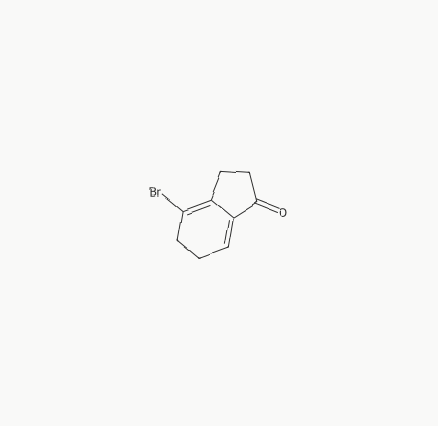 O=C1CCC2=C(Br)CCC=C12